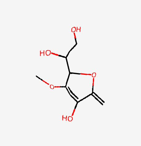 C=C1OC(C(O)CO)C(OC)=C1O